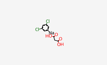 O=C(O)CC(=O)O.[Na][c]1cc(Cl)cc(Cl)c1